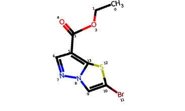 CCOC(=O)c1cnn2cc(Br)sc12